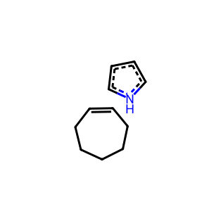 C1=CCCCCC1.c1cc[nH]c1